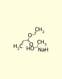 C=COC(=O)C=C.CCO.[NaH]